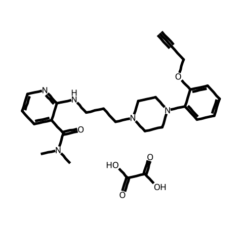 C#CCOc1ccccc1N1CCN(CCCNc2ncccc2C(=O)N(C)C)CC1.O=C(O)C(=O)O